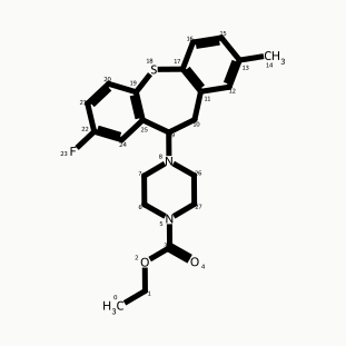 CCOC(=O)N1CCN(C2Cc3cc(C)ccc3Sc3ccc(F)cc32)CC1